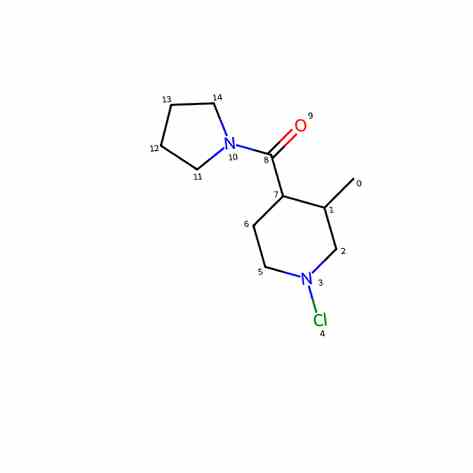 CC1CN(Cl)CCC1C(=O)N1CCCC1